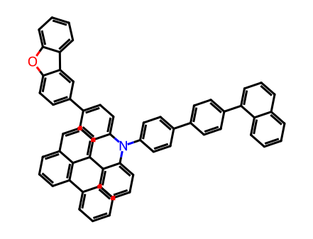 c1ccc(-c2cccc3cccc(-c4ccccc4N(c4ccc(-c5ccc(-c6cccc7ccccc67)cc5)cc4)c4ccc(-c5ccc6oc7ccccc7c6c5)cc4)c23)cc1